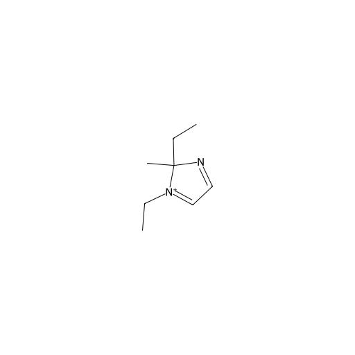 CC[N+]1=CC=NC1(C)CC